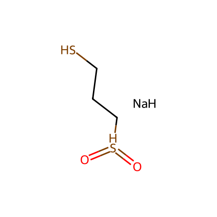 O=[SH](=O)CCCS.[NaH]